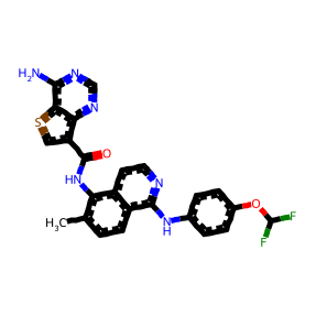 Cc1ccc2c(Nc3ccc(OC(F)F)cc3)nccc2c1NC(=O)c1csc2c(N)ncnc12